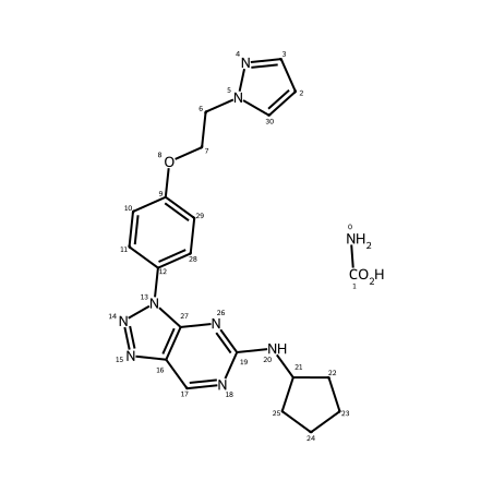 NC(=O)O.c1cnn(CCOc2ccc(-n3nnc4cnc(NC5CCCC5)nc43)cc2)c1